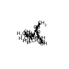 C=CCOC(=O)CCN(CCC(=O)NC(C(=O)NC(C)C(=O)OC(C)(C)C)C(C)C)C(=O)CCC(=O)NCCS(=O)(=O)O